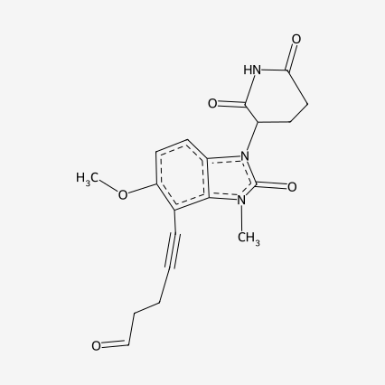 COc1ccc2c(c1C#CCCC=O)n(C)c(=O)n2C1CCC(=O)NC1=O